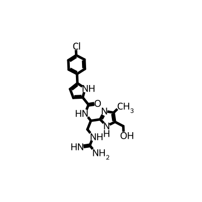 Cc1nc(C(CNC(=N)N)NC(=O)c2ccc(-c3ccc(Cl)cc3)[nH]2)[nH]c1CO